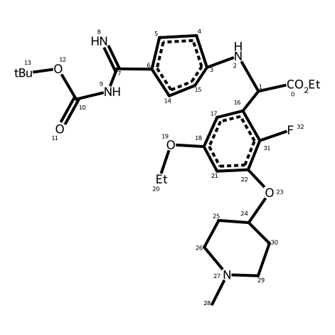 CCOC(=O)C(Nc1ccc(C(=N)NC(=O)OC(C)(C)C)cc1)c1cc(OCC)cc(OC2CCN(C)CC2)c1F